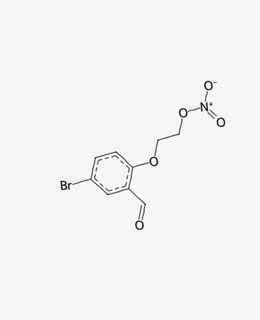 O=Cc1cc(Br)ccc1OCCO[N+](=O)[O-]